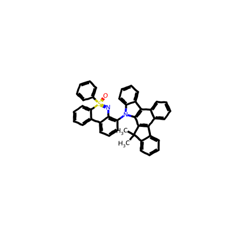 CC1(C)c2ccccc2-c2c1c1c(c3ccccc23)c2ccccc2n1-c1cccc2c1N=S(=O)(c1ccccc1)c1ccccc1-2